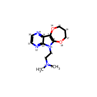 CN(C)CCn1c2c(c3nccnc31)OCCCO2